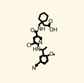 COc1ccc(C#N)cc1C(C)Nc1ncc(C(=O)NCC2(CC(=O)O)CCCCC2)cc1Cl